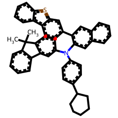 CC1(C)c2ccccc2-c2cc(N(c3ccc(C4CCCCC4)cc3)c3cc4ccccc4cc3-c3ccc4c(c3)sc3ccccc34)ccc21